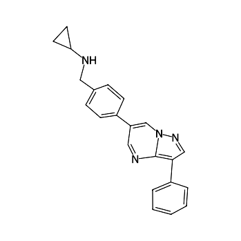 c1ccc(-c2cnn3cc(-c4ccc(CNC5CC5)cc4)cnc23)cc1